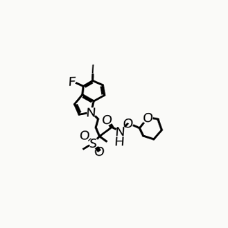 CC(CCn1ccc2c(F)c(I)ccc21)(C(=O)NOC1CCCCO1)S(C)(=O)=O